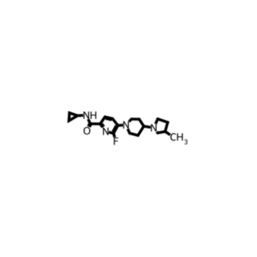 CC1CCN(C2CCN(c3ccc(C(=O)NC4CC4)nc3F)CC2)C1